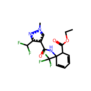 CCOC(=O)C1C=CC=CC1(NC(=O)c1cn(C)nc1C(F)F)C(F)(F)F